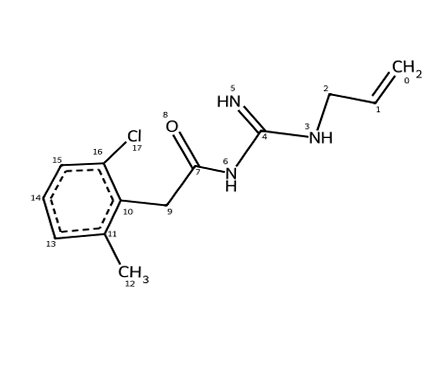 C=CCNC(=N)NC(=O)Cc1c(C)cccc1Cl